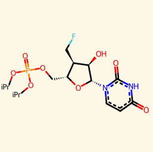 CC(C)OP(=O)(OC[C@H]1O[C@@H](n2ccc(=O)[nH]c2=O)[C@H](O)[C@@H]1CF)OC(C)C